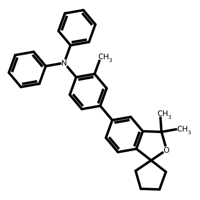 Cc1cc(-c2ccc3c(c2)C(C)(C)OC32CCCC2)ccc1N(c1ccccc1)c1ccccc1